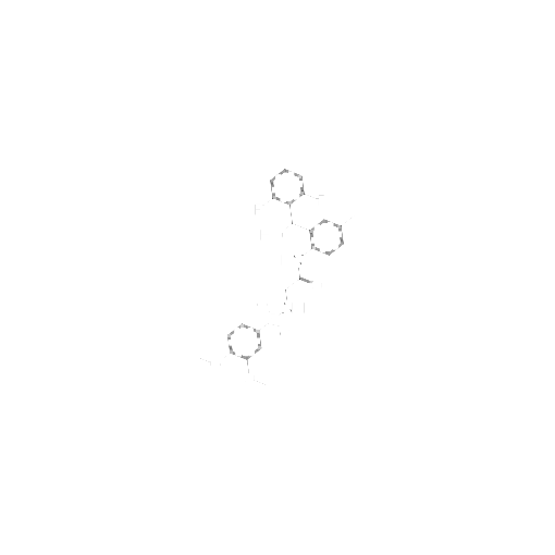 COc1ccc(S(=O)(=O)NCC(=O)Nc2ccc(C)cc2C(O)c2c(F)cccc2F)cc1OC